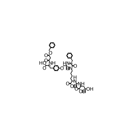 O=C(O)C[C@H](NC(=O)NC(CCCCNC(=O)[C@H](Cc1ccccc1)NC(=O)COc1ccc(C[C@H](NC(=O)CC(=O)OCc2ccccc2)C(=O)O)cc1)C(=O)O)C(=O)O